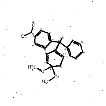 COC1(OC)C=CC(C(Cl)(c2ccccc2)c2ccccc2)=CC1.ClCCl